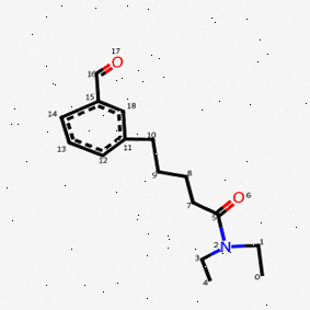 CCN(CC)C(=O)CCCCc1cccc(C=O)c1